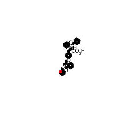 O=C(Oc1ccccc1NC(Cc1ccc(OCCCN(Cc2ccccc2)C(=O)c2ccccc2)cc1)C(=O)O)c1ccccc1